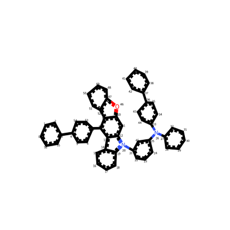 c1ccc(-c2ccc(-c3c4c(cc5c3c3ccccc3n5-c3cccc(N(c5ccccc5)c5ccc(-c6ccccc6)cc5)c3)oc3ccccc34)cc2)cc1